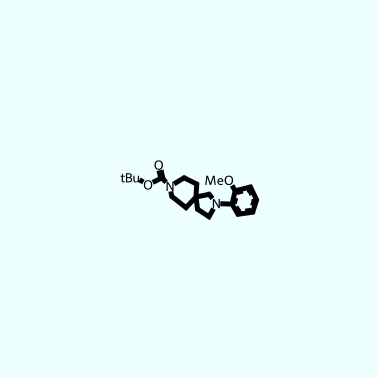 COc1ccccc1N1CCC2(CCN(C(=O)OC(C)(C)C)CC2)C1